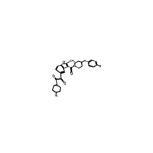 Cc1[nH]c2ccc(C(=O)C(=O)N3CCNCC3)cc2c1C(=O)N1CCC(Cc2ccc(F)cc2)CC1